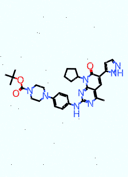 Cc1nc(Nc2ccc(N3CCN(C(=O)OC(C)(C)C)CC3)cc2)nc2c1cc(-c1ccn[nH]1)c(=O)n2C1CCCC1